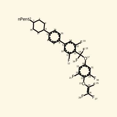 CCCCCC1CCC(c2ccc(-c3cc(F)c(C(F)(F)Oc4cc(F)c(OC(F)=C(F)F)c(F)c4)c(F)c3)cc2)CC1